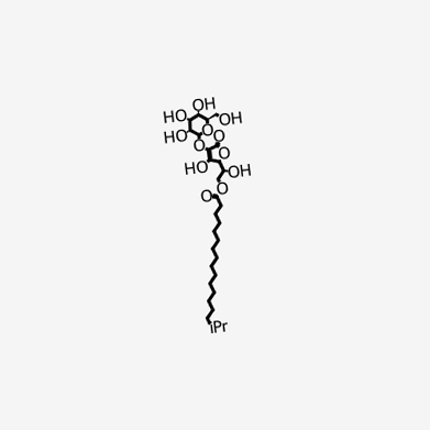 CC(C)CCCCCCCCCCCCCCC(=O)OC[C@H](O)[C@H]1OC(=O)C(OC2O[C@H](CO)[C@@H](O)[C@H](O)[C@H]2O)=C1O